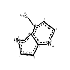 Sc1ccnc2cc[nH]c12